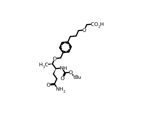 C[C@@H](OCc1ccc(CCCOCC(=O)O)cc1)[C@H](CCC(N)=O)NC(=O)OC(C)(C)C